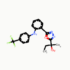 CCC(C)(O)c1nnc(-c2ccccc2Nc2ccc(C(F)(F)F)cc2)o1